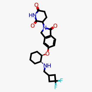 O=C1CCC(N2Cc3cc(O[C@@H]4CCCC[C@H]4NCC4CC(F)(F)C4)ccc3C2=O)C(=O)N1